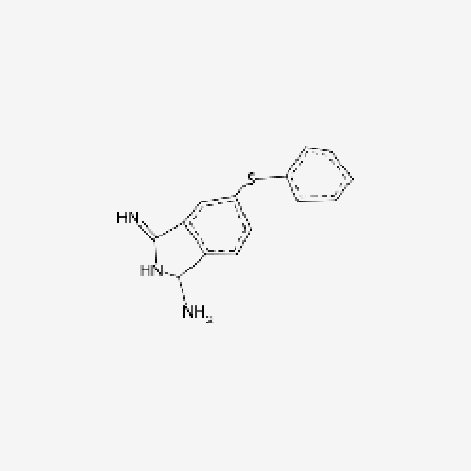 N=C1NC(N)c2ccc(Sc3ccccc3)cc21